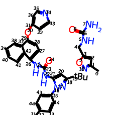 Cc1cc(CNC(N)=O)on1.Cc1ccc(-n2nc(C(C)(C)C)cc2NC(=O)Nc2ccc(Oc3ccncc3)c3ccccc23)cc1